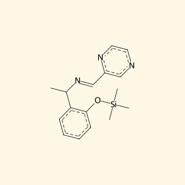 CC(N=Cc1cnccn1)c1ccccc1O[Si](C)(C)C